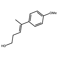 COc1ccc(C(C)=CCCO)cc1